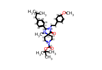 COc1ccc(CCN2C(=O)C3(CCN(C(=O)OC(C)(C)C)CC3)N(C)C2c2ccc(CC(C)C)cc2)cc1